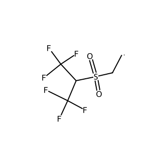 [CH2]CS(=O)(=O)C(C(F)(F)F)C(F)(F)F